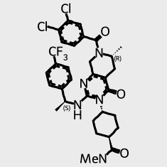 CNC(=O)[C@H]1CC[C@H](n2c(N[C@@H](C)c3ccc(C(F)(F)F)cc3)nc3c(c2=O)C[C@@H](C)N(C(=O)c2ccc(Cl)c(Cl)c2)C3)CC1